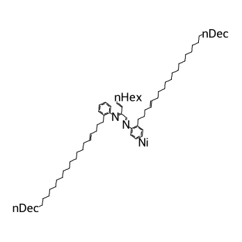 CCCCCCC=CC(C=Nc1ccccc1CCCC=CCCCCCCCCCCCCCCCCCCCCCCCC)=Nc1ccccc1CCCC=CCCCCCCCCCCCCCCCCCCCCCCCC.[Ni]